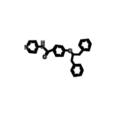 O=C(Nc1ccncc1)c1ccc(OC(Cc2ccccc2)Cc2ccccc2)cc1